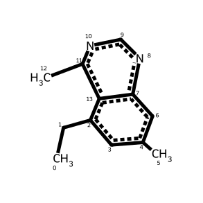 CCc1cc(C)cc2ncnc(C)c12